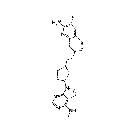 CNc1ncnc2c1ccn2C1CCC(CCc2ccc3cc(F)c(N)nc3c2)C1